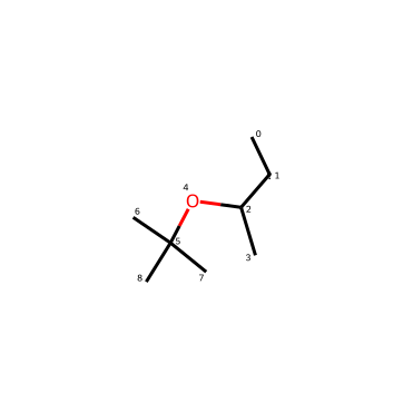 C[CH]C(C)OC(C)(C)C